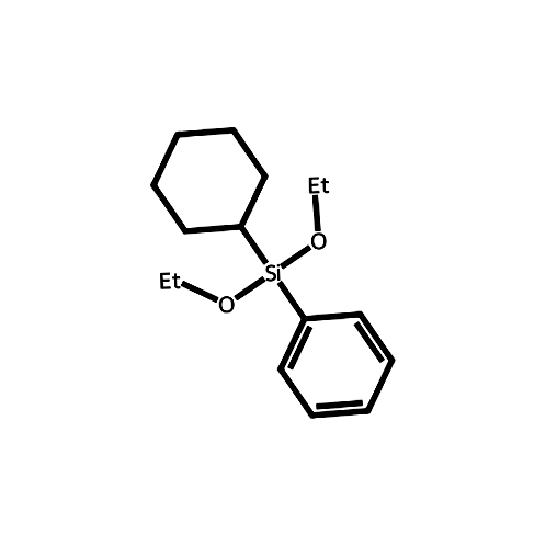 CCO[Si](OCC)(c1ccccc1)C1CCCCC1